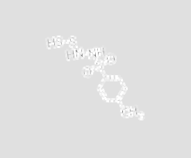 Cc1ccc(S(=O)(=O)NNSS)cc1